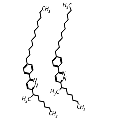 CCCCCCCCCCCCc1ccc(-c2ccc(C(C)CCCCCC)nn2)cc1.CCCCCCCCCCCc1ccc(-c2ccc(C(C)CCCCCC)nn2)cc1